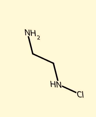 NCCNCl